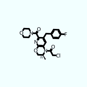 C[C@H]1COc2nc(C(=O)N3CCOCC3)c(Cc3ccc(F)cc3)cc2N1C(=O)CCl